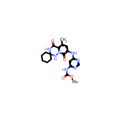 Cc1cc(Nc2cc(NC(=O)OC(C)(C)C)ncn2)c(=O)n2c1C(=O)NC1(CCCCC1)N2